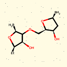 B[C@@H]1O[C@H](CC)[C@H](O)C1OC[C@H]1O[C@@H](B)C[C@H]1O